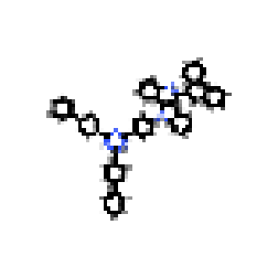 c1ccc(-c2ccc(-c3nc(-c4ccc(-c5ccccc5)cc4)nc(-c4ccc(-n5c6ccccc6c6c(-c7cc8ccccc8c8ccccc78)nc7ccccc7c65)cc4)n3)cc2)cc1